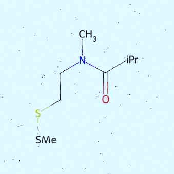 CSSCCN(C)C(=O)C(C)C